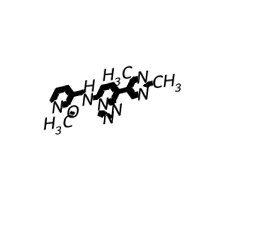 COc1ncccc1CNc1ccc(-c2cnc(C)nc2C)c2nncn12